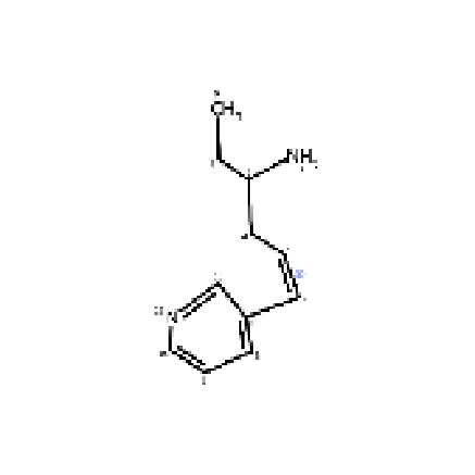 CCC(N)C/C=C\c1cccnc1